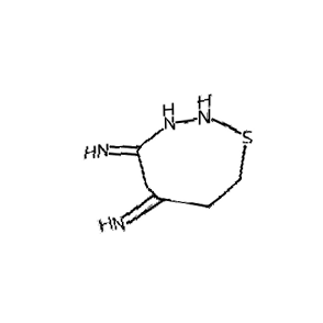 N=C1CCSNNC1=N